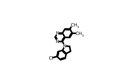 Cc1cc2ncnc(N3CCc4ccc(Cl)cc43)c2cc1C